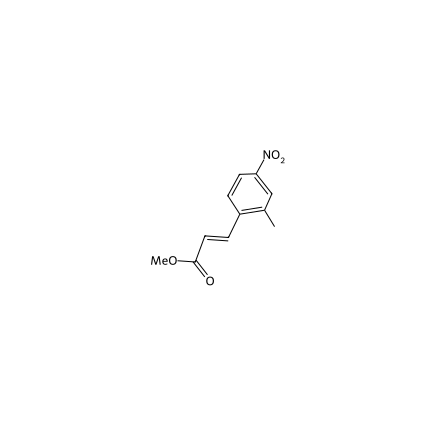 COC(=O)C=Cc1ccc([N+](=O)[O-])cc1C